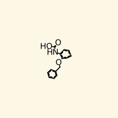 O=C(O)Nc1ccccc1OCc1ccccc1